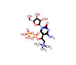 C[N+](C)(C)CC(OP(=O)([O-])OP(=O)(O)O)c1cn([C@@H]2O[C@H](CO)[C@@H](O)[C@H]2O)c(=O)nc1N